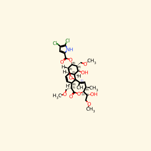 COC[C@@H]1[C@@H](O)[C@@H]2[C@H]3C=C[C@@H]4[C@@H](COC)C(=O)O[C@H]([C@H](O)COC)[C@H](C)/C=C(\C)[C@@]24O[C@H]3[C@@H]1OC(=O)c1cc(Cl)c(Cl)[nH]1